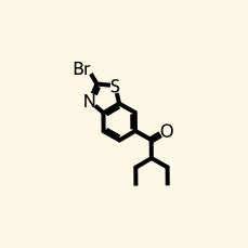 CCC(CC)C(=O)c1ccc2nc(Br)sc2c1